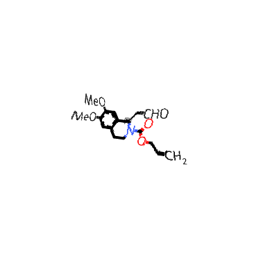 C=CCOC(=O)N1CCc2cc(OC)c(OC)cc2[C@H]1CC=O